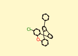 Clc1ccc2c(c1)Oc1ccccc1C21c2ccccc2-c2cc(-c3ccccc3)ccc21